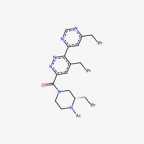 CC(=O)N1CCN(C(=O)c2cc(CC(C)C)c(-c3cc(CC(C)C)ncn3)nn2)C[C@@H]1CC(C)C